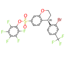 O=S(=O)(Oc1c(F)c(F)c(F)c(F)c1F)c1ccc2c(c1)OCC[C@H]2c1ccc(C(F)(F)F)cc1Br